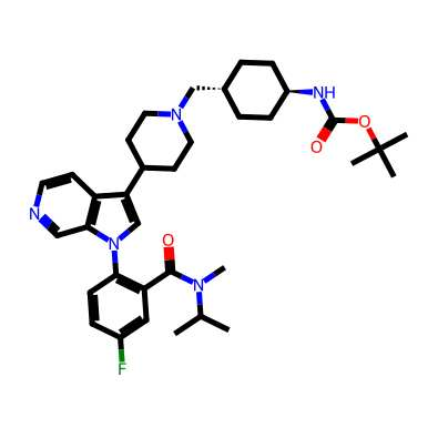 CC(C)N(C)C(=O)c1cc(F)ccc1-n1cc(C2CCN(C[C@H]3CC[C@H](NC(=O)OC(C)(C)C)CC3)CC2)c2ccncc21